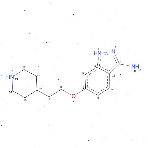 Nc1n[nH]c2cc(OCCC3CCNCC3)ccc12